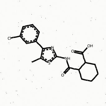 Cc1sc(NC(=O)C2CCCCC2C(=O)O)nc1-c1cccc(Cl)c1